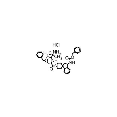 CC(C)(N)C(=O)N[C@H](COCc1ccccc1)C(=O)N1CCC2(CC1)CC(NC(=O)OCc1ccccc1)c1ccccc12.Cl